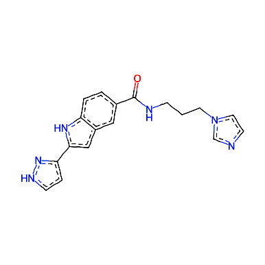 O=C(NCCCn1ccnc1)c1ccc2[nH]c(-c3cc[nH]n3)cc2c1